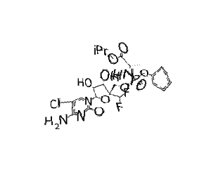 CC(C)OC(=O)[C@H](C)NP(=O)(OC[C@@]1(C(F)F)O[C@@H](n2cc(Cl)c(N)nc2=O)[C@@H](O)[C@@H]1O)Oc1ccccc1